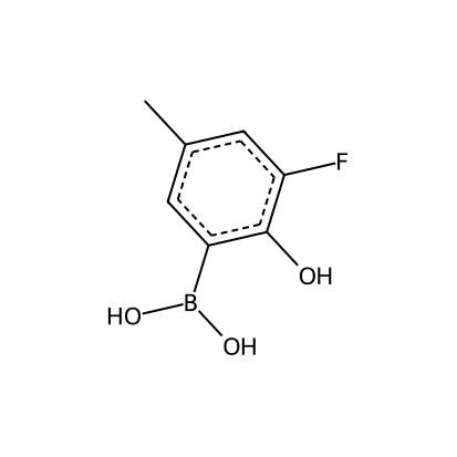 Cc1cc(F)c(O)c(B(O)O)c1